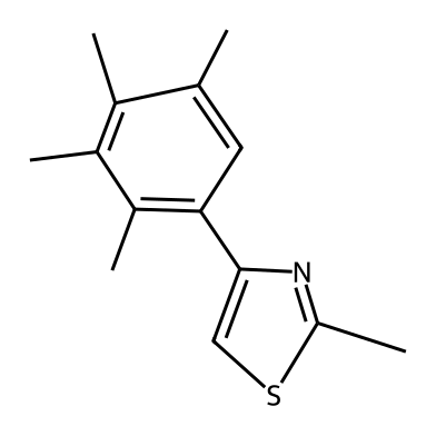 Cc1nc(-c2cc(C)c(C)c(C)c2C)cs1